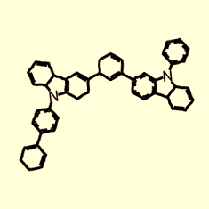 C1=CC2C3=C(CCC(C4C=C(c5ccc6c(c5)N(c5ccccc5)C5C=CC=CC65)C=CC4)=C3)N(c3ccc(C4=CCCC=C4)cc3)C2C=C1